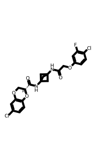 O=C(COc1ccc(Cl)c(F)c1)NC12CC(NC(=O)[C@H]3COc4cc(Cl)ccc4O3)(C1)C2